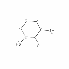 CC1C(S)CCCC1S